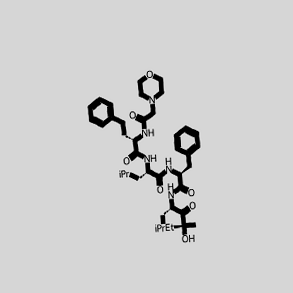 CC[C@@](C)(O)C(=O)[C@H](CC(C)C)NC(=O)[C@H](Cc1ccccc1)NC(=O)[C@H](CC(C)C)NC(=O)[C@H](CCc1ccccc1)NC(=O)CN1CCOCC1